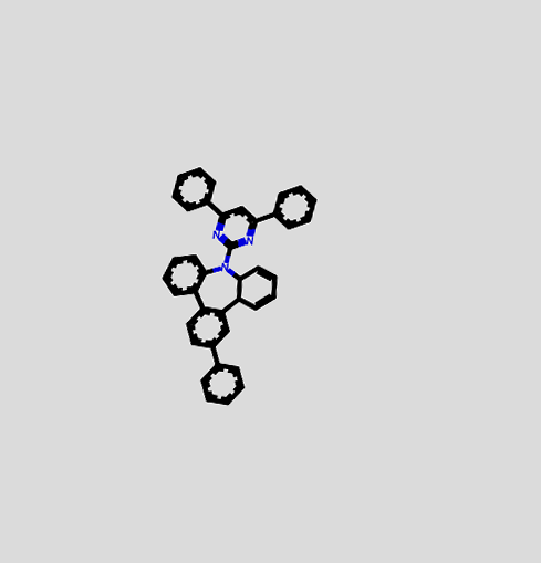 C1=CC2c3cc(-c4ccccc4)ccc3-c3ccccc3N(c3nc(-c4ccccc4)cc(-c4ccccc4)n3)C2C=C1